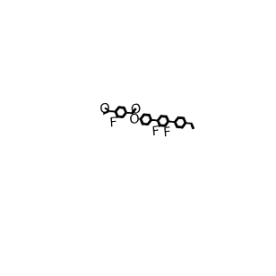 C=Cc1ccc(-c2ccc(-c3ccc(OC(=O)c4ccc(C5CO5)c(F)c4)cc3)c(F)c2F)cc1